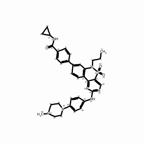 CCCN1c2cc(-c3ccc(C(=O)NC4CC4)cc3)ccc2-c2nc(Nc3ccc(N4CCN(C)CC4)cc3)ncc2S1(=O)=O